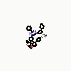 N#Cc1ccc(-c2cccc3c2-c2cc(-c4cc(-c5cccc(-c6ccccc6)c5)nc(-c5ccccc5)n4)ccc2C32c3ccccc3Sc3ccccc32)cc1